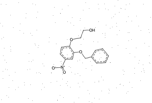 O=[N+]([O-])c1ccc(OCCO)c(OCc2ccccc2)c1